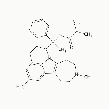 Cc1cc2c3c(c1)c1c(n3C(C(C)(OC(=O)C(C)N)c3cccnc3)CC2)CCN(C)CC1